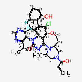 C=CC(=O)N1CC(C)N2c3nc(=O)n(-c4c(C(C)C)ncnc4C(C)C)c4c(F)c(-c5c(O)cccc5F)c(Cl)c(c34)OCCC2C1